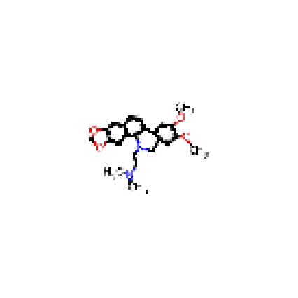 COc1cc2c(cc1OC)-c1ccc3cc4c(cc3c1N(CCN(C)C)C2)OCO4